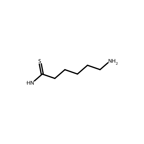 [NH]C(=S)CCCCCN